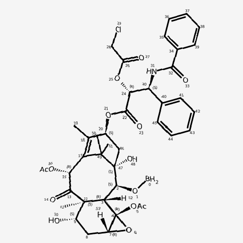 BO[C@H]1[C@@H]2[C@]3(OC(C)=O)O[C@@H]3C[C@H](O)[C@@]2(C)C(=O)[C@H](OC(C)=O)C2=C(C)[C@@H](OC(=O)[C@H](OC(=O)CCl)[C@@H](NC(=O)c3ccccc3)c3ccccc3)C[C@]1(O)C2(C)C